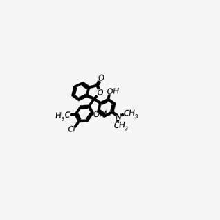 COc1cc(Cl)c(C)cc1C1(c2ccc(N(C)C)cc2O)OC(=O)c2ccccc21